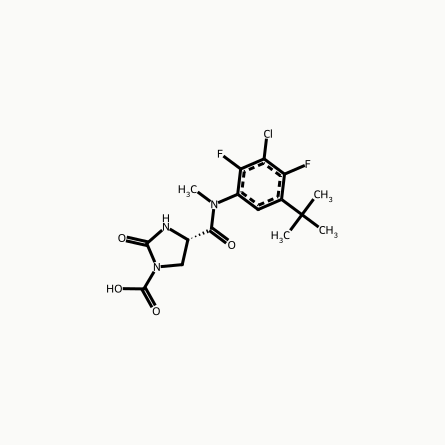 CN(C(=O)[C@@H]1CN(C(=O)O)C(=O)N1)c1cc(C(C)(C)C)c(F)c(Cl)c1F